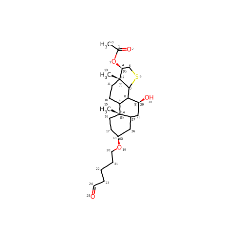 CC(=O)O[C@H]1CSC2C3C(CC[C@@]21C)[C@@]1(C)CC[C@H](OCCCCC=O)CC1C[C@@H]3O